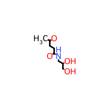 CC(=O)CCC(=O)NCC(O)CO